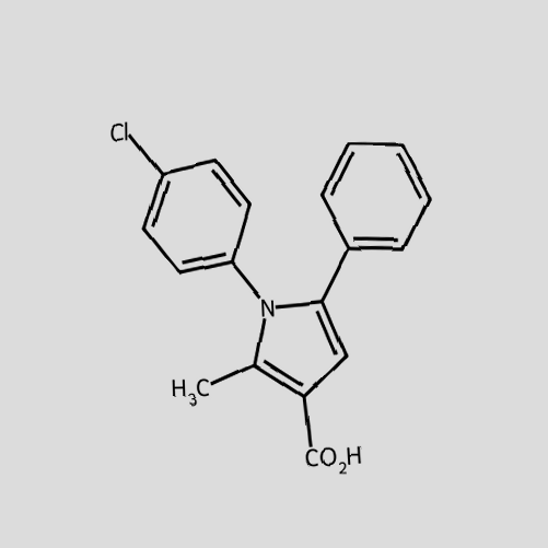 Cc1c(C(=O)O)cc(-c2ccccc2)n1-c1ccc(Cl)cc1